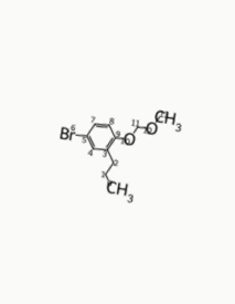 CCCc1cc(Br)ccc1OCOC